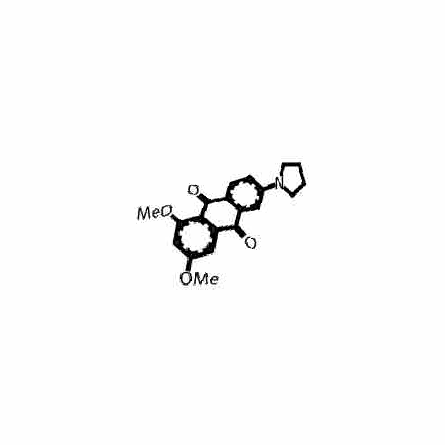 COc1cc(OC)c2c(c1)C(=O)c1cc(N3CCCC3)ccc1C2=O